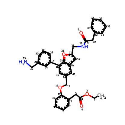 CCOC(=O)Cc1ccccc1OCc1cc(-c2cccc(CN)c2)c2oc(CNC(=O)Cc3ccccc3)cc2c1